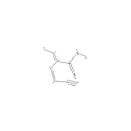 C#C/C=C\C(=C/C)C(=S)SC